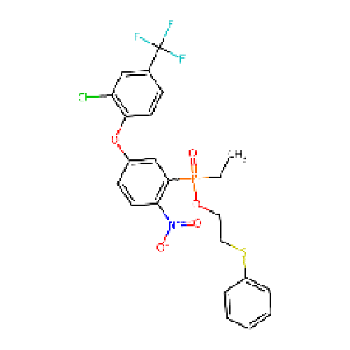 CCP(=O)(OCCSc1ccccc1)c1cc(Oc2ccc(C(F)(F)F)cc2Cl)ccc1[N+](=O)[O-]